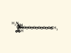 COCCOCCOCCOCCOCCOCCOCCOCCOCCOCCOCCOCCNC(=O)CN(CC(=O)NCCN)C(=O)OCC1c2ccccc2-c2ccccc21